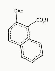 CC(=O)Oc1ccc2ccccc2c1C(=O)O